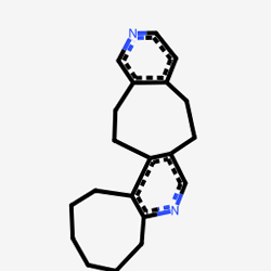 c1cc2c(cn1)CCc1c(cnc3c1CCCCCC3)CC2